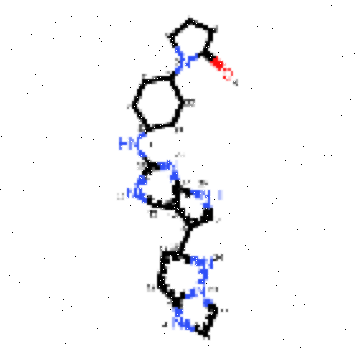 O=C1CCCN1C1CCC(Nc2ncc3c(-c4ccc5nccn5n4)c[nH]c3n2)CC1